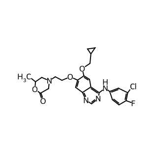 CC1CN(CCOc2cc3ncnc(Nc4ccc(F)c(Cl)c4)c3cc2OCC2CC2)CC(=O)O1